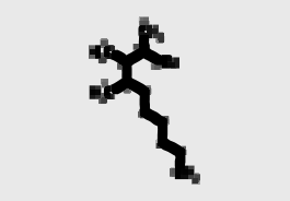 BCCCCCC(C)C(C)C(C)C(C)CC